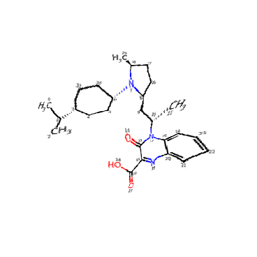 CC(C)[C@H]1CC[C@@H](N2[C@H](C[C@H](C)n3c(=O)c(C(=O)O)nc4ccccc43)CC[C@@H]2C)CC1